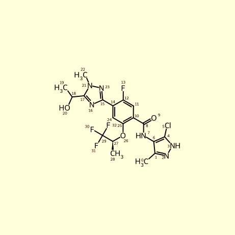 Cc1n[nH]c(Cl)c1NC(=O)c1cc(F)c(-c2nc(C(C)O)n(C)n2)cc1O[C@@H](C)C(F)(F)F